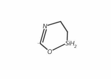 [C]1=NCC[SiH2]O1